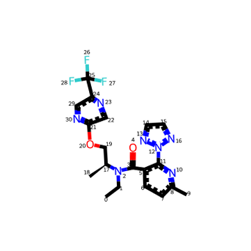 CCN(C(=O)c1ccc(C)nc1-n1nccn1)[C@@H](C)COc1cnc(C(F)(F)F)cn1